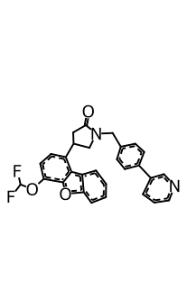 O=C1CC(c2ccc(OC(F)F)c3oc4ccccc4c23)CN1Cc1ccc(-c2cccnc2)cc1